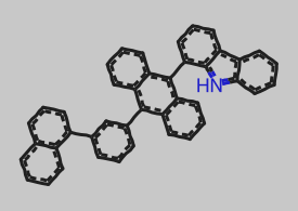 c1cc(-c2cccc3ccccc23)cc(-c2c3ccccc3c(-c3cccc4c3[nH]c3ccccc34)c3ccccc23)c1